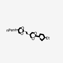 CCCCC[C@H]1CO[C@H](CC[C@H]2CO[C@H]([C@H]3CC[C@H](CC)CC3)OC2)OC1